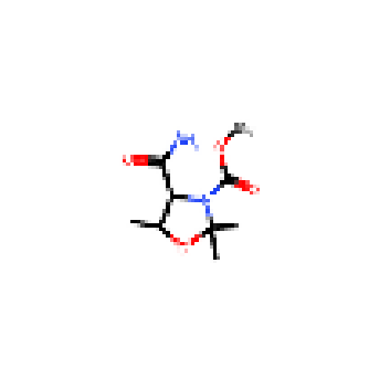 CC1OC(C)(C)N(C(=O)OC(C)(C)C)C1C(N)=O